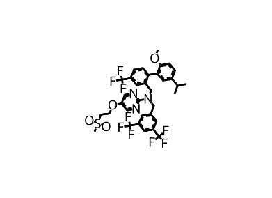 COc1ccc(C(C)C)cc1-c1ccc(C(F)(F)F)cc1CN(Cc1cc(C(F)(F)F)cc(C(F)(F)F)c1)c1ncc(OCCS(C)(=O)=O)cn1